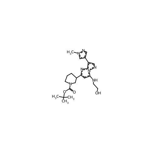 Cn1cc(-c2cnn3c(NCCO)cc(C4CCCN(C(=O)OC(C)(C)C)C4)nc23)cn1